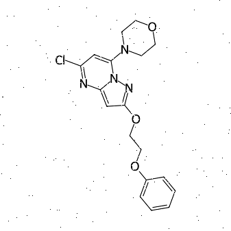 Clc1cc(N2CCOCC2)n2nc(OCCOc3ccccc3)cc2n1